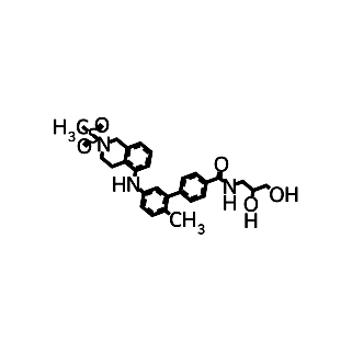 Cc1ccc(Nc2cccc3c2CCN(S(C)(=O)=O)C3)cc1-c1ccc(C(=O)NCC(O)CO)cc1